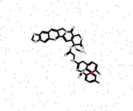 CC[C@@]1(OC(=O)CN/C(Cc2ccc(F)cc2)=N/S(=O)(=O)c2ccc(F)cc2)C(=O)OCc2c1cc1n(c2=O)Cc2cc3cc4c(cc3nc2-1)OCO4